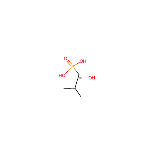 CC(C)[C@@H](O)P(=O)(O)O